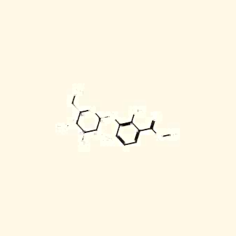 CC(C)OC(=O)c1cccc(O[C@@H]2O[C@H](CO)[C@@H](O)[C@H](O)[C@H]2O)c1O